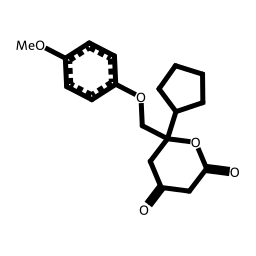 COc1ccc(OCC2(C3CCCC3)CC(=O)CC(=O)O2)cc1